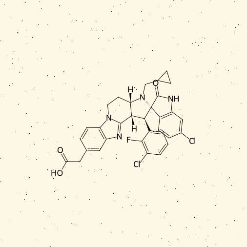 O=C(O)Cc1ccc2c(c1)nc1n2CC[C@H]2[C@@H]1[C@H](c1cccc(Cl)c1F)[C@]1(C(=O)Nc3cc(Cl)ccc31)N2CC1CC1